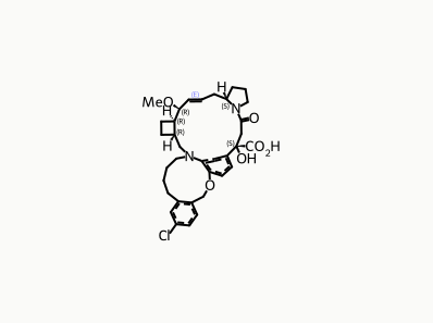 CO[C@H]1/C=C/C[C@@H]2CCCN2C(=O)C[C@@](O)(C(=O)O)c2ccc3c(c2)N(CCCCc2cc(Cl)ccc2CO3)C[C@@H]2CC[C@H]21